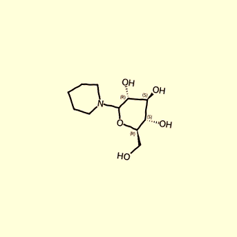 OC[C@H]1OC(N2CCCCC2)[C@H](O)[C@@H](O)[C@@H]1O